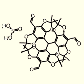 CC1(C)Oc2c(C=O)c3c(c(C(c4c5c(c(C=O)c6c4OC(C)(C)O6)OC(C)(C)O5)c4c5c(c(C=O)c6c4OC(C)(C)O6)OC(C)(C)O5)c2O1)OC(C)(C)O3.O=S(O)O